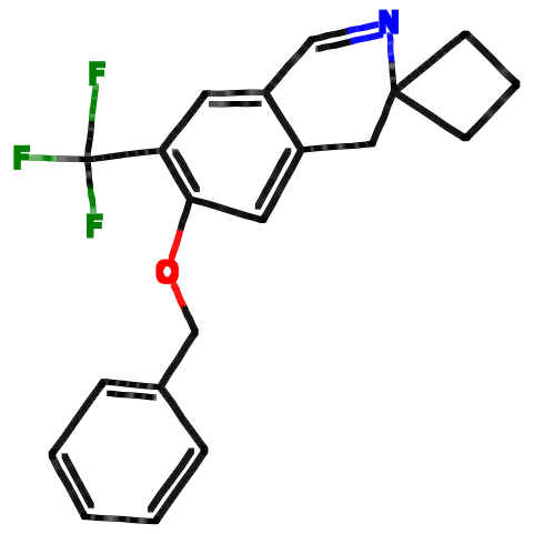 FC(F)(F)c1cc2c(cc1OCc1ccccc1)CC1(CCC1)N=C2